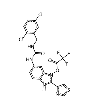 O=C(NCc1cc(Cl)ccc1Cl)Nc1ccc2[nH]c(-c3cscn3)[n+](OC(=O)C(F)(F)F)c2c1